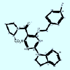 O=C(O)[C@@H]1CCCN1C(=O)c1cnc(N2CCc3ccccc32)nc1OCc1ccc(F)cc1